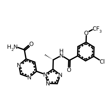 C[C@H](NC(=O)c1cc(Cl)cc(OC(F)(F)F)c1)c1ncnn1-c1cc(C(N)=O)ncn1